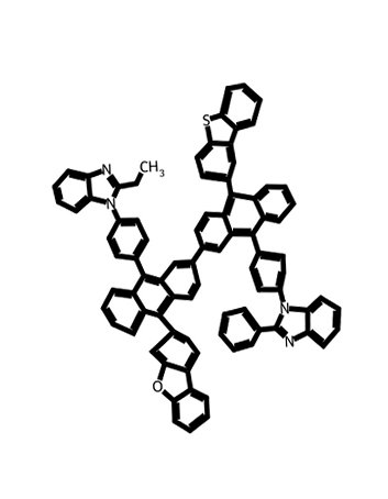 CCc1nc2ccccc2n1-c1ccc(-c2c3ccccc3c(-c3ccc4c(c3)oc3ccccc34)c3ccc(-c4ccc5c(-c6ccc7sc8ccccc8c7c6)c6ccccc6c(-c6ccc(-n7c(-c8ccccc8)nc8ccccc87)cc6)c5c4)cc23)cc1